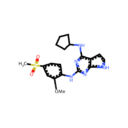 COc1cc(S(C)(=O)=O)ccc1Nc1nc(NC2CCCC2)c2cc[nH]c2n1